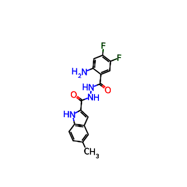 Cc1ccc2[nH]c(C(=O)NNC(=O)c3cc(F)c(F)cc3N)cc2c1